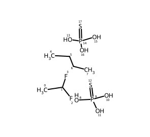 CC(F)F.CCCC.OP(O)(O)=S.OP(O)(O)=S